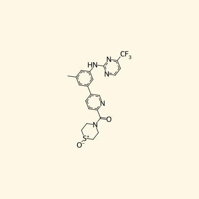 Cc1cc(Nc2nccc(C(F)(F)F)n2)cc(-c2ccc(C(=O)N3CC[S+]([O-])CC3)nc2)c1